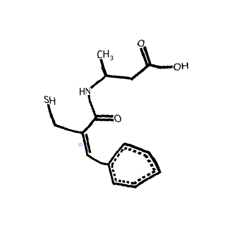 CC(CC(=O)O)NC(=O)/C(=C\c1ccccc1)CS